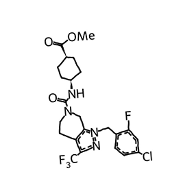 COC(=O)[C@H]1CC[C@@H](NC(=O)N2CCc3c(C(F)(F)F)nn(Cc4ccc(Cl)cc4F)c3C2)CC1